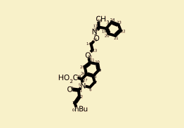 CCCCC=CC(=O)N1CCc2ccc(OCCON=C(C)c3ccccc3)cc2C1C(=O)O